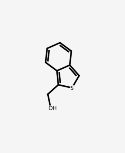 O[CH]c1scc2ccccc12